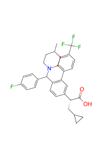 CC1CCN(C(c2ccc(F)cc2)c2ccc([C@@H](CC3CC3)C(=O)O)cc2-c2ccc(C(F)(F)F)cc2)CC1